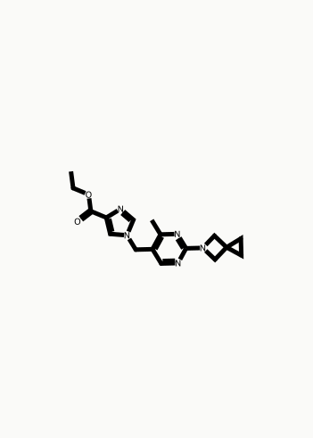 CCOC(=O)c1cn(Cc2cnc(N3CC4(CC4)C3)nc2C)cn1